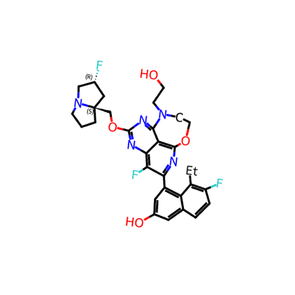 CCc1c(F)ccc2cc(O)cc(-c3nc4c5c(nc(OC[C@@]67CCCN6C[C@H](F)C7)nc5c3F)N(CCO)CCO4)c12